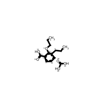 CCCOc1c(CCC)cccc1C(=O)O.O=C(O)O